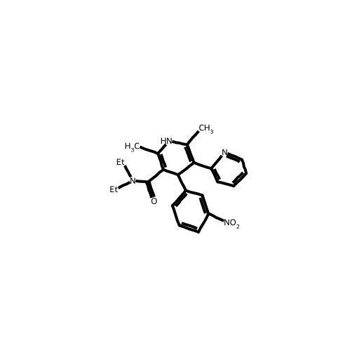 CCN(CC)C(=O)C1=C(C)NC(C)=C(c2ccccn2)C1c1cccc([N+](=O)[O-])c1